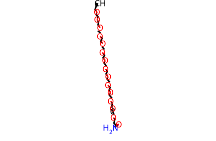 C#CCOCCOCCOCCOCCOCCOCCOCCOCCOCCOCCOCCOCCOCCOCCC(N)=O